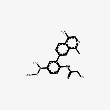 Cc1nnc(N)c2ccc(-c3cc(B(O)OC=O)ccc3NC(=O)CC(C)C)cc12